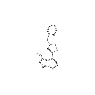 Cn1cnc2ncnc(C3=NC(Cc4ccccc4)CS3)c21